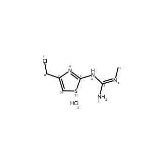 C/N=C(/N)Nc1nc(CCl)cs1.Cl